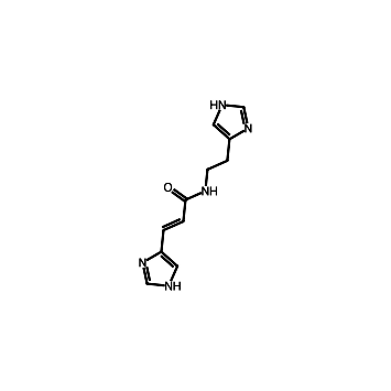 O=C(/C=C/c1c[nH]cn1)NCCc1c[nH]cn1